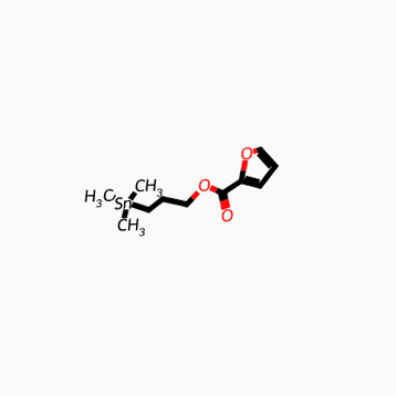 [CH3][Sn]([CH3])([CH3])[CH2]CCOC(=O)c1ccco1